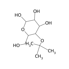 CC(C)(C)OC1C(CO)OC(O)C(O)C1O